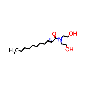 CCCCCCCC/C=C/C(=O)N(CCO)CCO